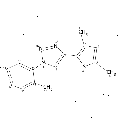 Cc1cc(C)c(-c2cn(-c3ccccc3C)nn2)s1